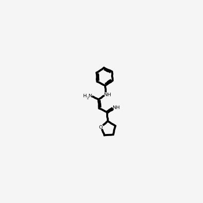 N=C(/C=C(/N)Nc1ccccc1)C1CCCO1